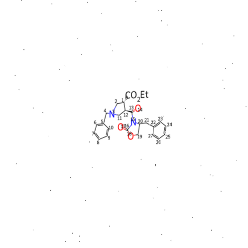 CCOC(=O)[C@H]1CN(Cc2ccccc2)C[C@@H]1C(=O)N1C(=O)OCC1Cc1ccccc1